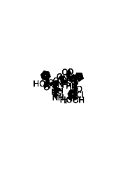 COC(=O)C1=C(C[N+]2(CCNC(=O)c3ccc(O)c(O)c3Cl)CCCC2)CS[C@@H]2[C@H](NC(=O)/C(=N\O[C@H](C(=O)O)c3ccccc3)c3csc(N)n3)C(=O)N12